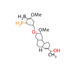 BC1=C(OC)CC(COC2CC3CC[C@@H]4C=C(C(C)O)CCC4C3CC2OC)CC1P